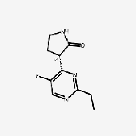 CCc1ncc(F)c([C@@H]2CCNC2=O)n1